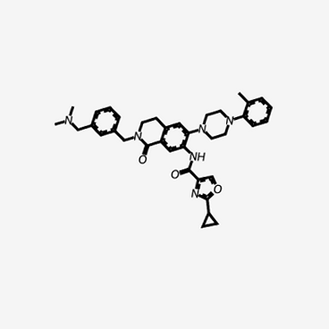 Cc1ccccc1N1CCN(c2cc3c(cc2NC(=O)c2coc(C4CC4)n2)C(=O)N(Cc2cccc(CN(C)C)c2)CC3)CC1